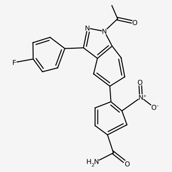 CC(=O)n1nc(-c2ccc(F)cc2)c2cc(-c3ccc(C(N)=O)cc3[N+](=O)[O-])ccc21